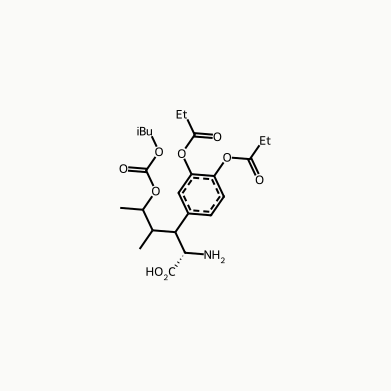 CCC(=O)Oc1ccc(C(C(C)C(C)OC(=O)OC(C)CC)[C@H](N)C(=O)O)cc1OC(=O)CC